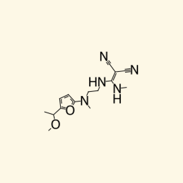 CNC(NCCN(C)c1ccc(C(C)OC)o1)=C(C#N)C#N